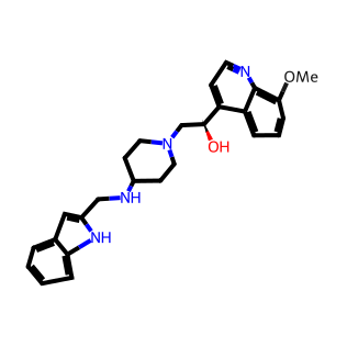 COc1cccc2c([C@@H](O)CN3CCC(NCc4cc5ccccc5[nH]4)CC3)ccnc12